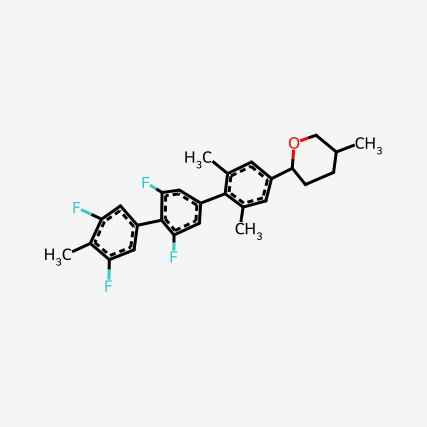 Cc1cc(C2CCC(C)CO2)cc(C)c1-c1cc(F)c(-c2cc(F)c(C)c(F)c2)c(F)c1